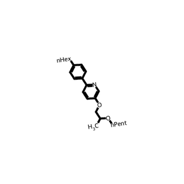 CCCCCCc1ccc(-c2ccc(OCC(C)OCCCCC)cn2)cc1